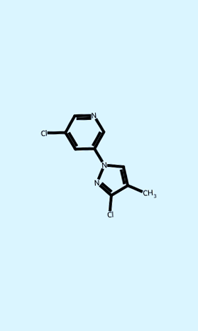 Cc1cn(-c2cncc(Cl)c2)nc1Cl